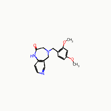 COc1ccc(CN2CC(=O)Nc3ccncc3C2)c(OC)c1